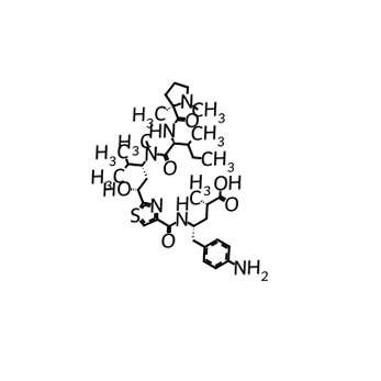 CCC(C)[C@H](NC(=O)[C@@]1(C)CCCN1C)C(=O)N(C)[C@H](C[C@@H](O)c1nc(C(=O)N[C@@H](Cc2ccc(N)cc2)C[C@H](C)C(=O)O)cs1)C(C)C